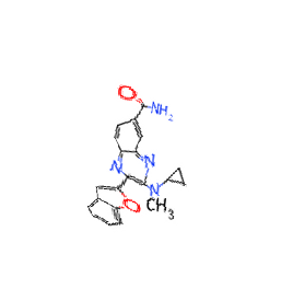 CN(c1nc2cc(C(N)=O)ccc2nc1-c1cc2ccccc2o1)C1CC1